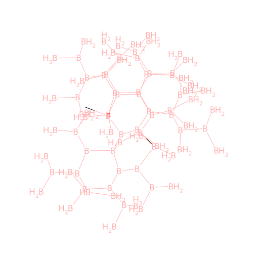 BBB(B(B)B)B(B(B)B)B(B(B(C)B(B(B(B)B)B(B)B(B)B)B(B(B(B)B)B(B)B)B(B(B)B)B(B)B)B(C)B(B(B(B)B)B(B(B)B)B(B)B)B(B(B(B)B)B(B)B)B(B(B)B)B(B)B)B(B(B(B)B)B(B)B)B(B(B)B)B(B)B